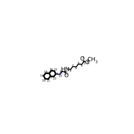 COC(=O)CCCCCNC(=O)/C=C/c1ccc2ccccc2c1